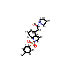 Cc1ccc(S(=O)(=O)N2CC=C3C(CC(=O)N4CCCC4)CCCC32)cc1